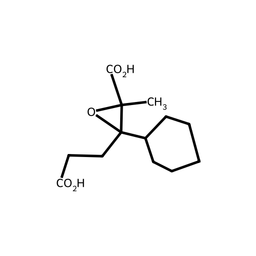 CC1(C(=O)O)OC1(CCC(=O)O)C1CCCCC1